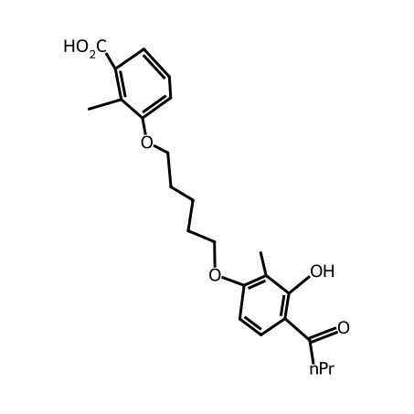 CCCC(=O)c1ccc(OCCCCCOc2cccc(C(=O)O)c2C)c(C)c1O